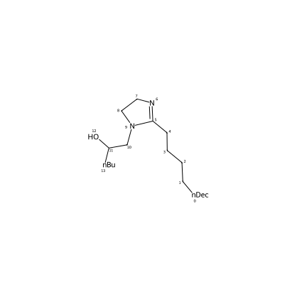 CCCCCCCCCCCCCCC1=NCCN1CC(O)CCCC